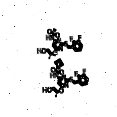 C[C@H](CO)Oc1cc(NS(=O)(=O)N2CCC2)nc(SCc2cccc(F)c2F)n1.C[C@H](CO)Oc1cc(NS(C)(=O)=O)nc(SCc2cccc(F)c2F)n1